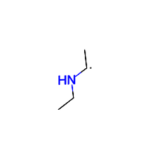 C[CH]NCC